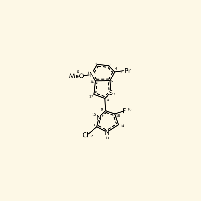 CO[n+]1ccc(C(C)C)c2sc(-c3nc(Cl)ncc3F)cc21